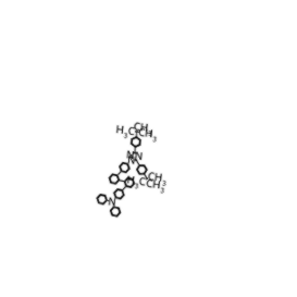 CC(C)(C)c1ccc(-c2nc(-c3ccc(C(C)(C)C)cc3)n(-c3ccc(-c4ccccc4-c4ccccc4-c4ccc(N(c5ccccc5)c5ccccc5)cc4)cc3)n2)cc1